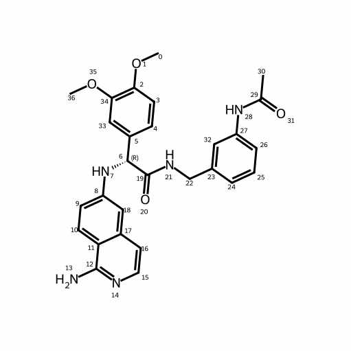 COc1ccc([C@@H](Nc2ccc3c(N)nccc3c2)C(=O)NCc2cccc(NC(C)=O)c2)cc1OC